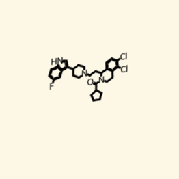 O=C(C1CCCC1)N1CCc2c(ccc(Cl)c2Cl)C1CCN1CCC(c2c[nH]c3ccc(F)cc23)CC1